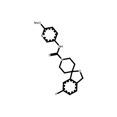 COc1ccc(NC(=S)N2CCC3(CC2)OCc2ccc(F)cc23)cn1